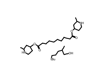 CC(CO)CCCC(C)(C)C.CC1CC(OC(=O)CCCCCCCCC(=O)OC2CCNC(C)C2)CCN1